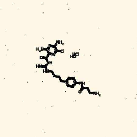 Cl.Cl.N=C(NCCCCc1ccc(NC(=O)CCN)cc1)NC(=O)c1nc(Cl)c(N)nc1N